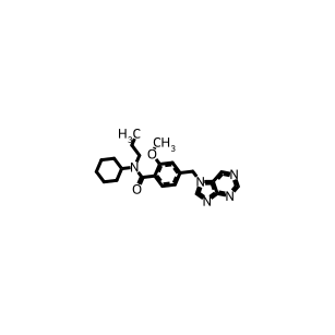 CCCN(C(=O)c1ccc(Cn2cnc3ncncc32)cc1OC)C1CCCCC1